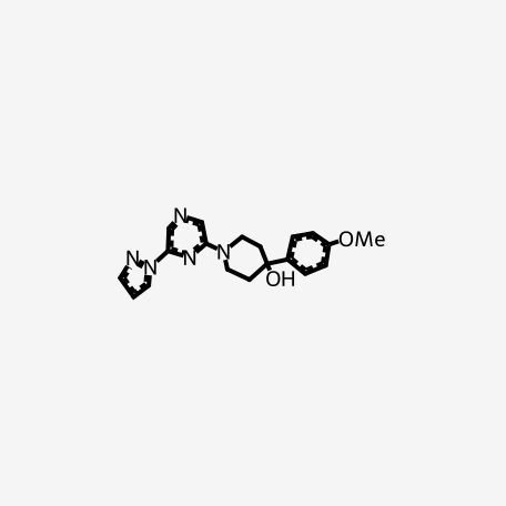 COc1ccc(C2(O)CCN(c3cncc(-n4cccn4)n3)CC2)cc1